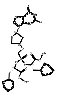 CCCOC(=O)[C@H](Cc1ccccc1)NP(=O)(CO[C@H]1CO[C@@H](n2cnc3c(=O)[nH]c(N)nc32)C1)N[C@@H](Cc1ccccc1)C(=O)OCCC